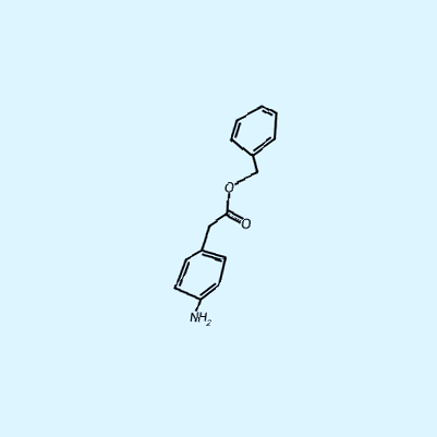 Nc1ccc(CC(=O)OCc2ccccc2)cc1